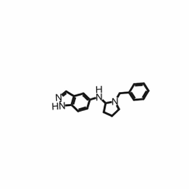 c1ccc(CN2CCCC2Nc2ccc3[nH]ncc3c2)cc1